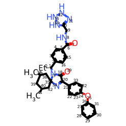 CC[C@H](c1ccc(C(=O)NCC2=NNNN2)cc1)N1C(=O)C(c2ccc(Oc3ccccc3)cc2)=NC12CC(C)CC(C)C2